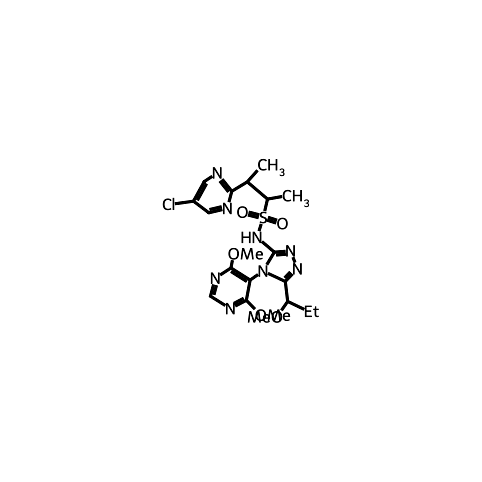 CCC(OC)c1nnc(NS(=O)(=O)C(C)C(C)c2ncc(Cl)cn2)n1-c1c(OC)ncnc1OC